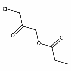 CCC(=O)OCC(=O)CCl